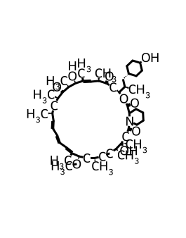 CO[C@H]1C[C@@H](C)CC[C@@H](C)[C@](C)(O)CC(=O)N2CCCCC2C(=O)O[C@H]([C@H](C)C[C@H]2CC[C@H](O)CC2)CC(=O)[C@H](C)/C=C(\C)[C@@H](O)[C@@H](C)C(=O)[C@H](C)C[C@H](C)/C=C/C=C/C=C/1C